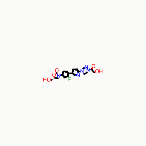 O=C(CO)N1CCN(c2ccc(-c3ccc(N4C[C@H](CO)OC4=O)cc3F)cn2)C=N1